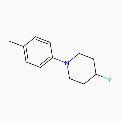 Cc1ccc(N2CCC(F)CC2)cc1